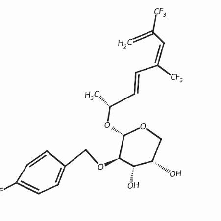 C=C(/C=C(\C=C\[C@@H](C)O[C@@H]1OC[C@H](O)[C@H](O)[C@H]1OCc1ccc(F)cc1)C(F)(F)F)C(F)(F)F